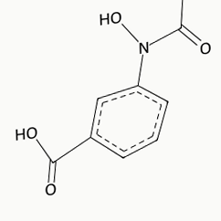 CC(=O)N(O)c1cccc(C(=O)O)c1